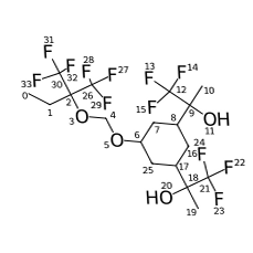 CCC(OCOC1CC(C(C)(O)C(F)(F)F)CC(C(C)(O)C(F)(F)F)C1)(C(F)(F)F)C(F)(F)F